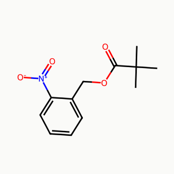 CC(C)(C)C(=O)OCc1ccccc1[N+](=O)[O-]